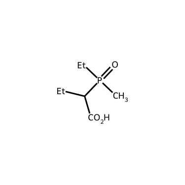 CCC(C(=O)O)P(C)(=O)CC